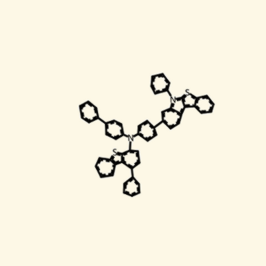 c1ccc(-c2ccc(N(c3ccc(-c4ccc5c6c7ccccc7sc6n(-c6ccccc6)c5c4)cc3)c3ccc(-c4ccccc4)c4c3sc3ccccc34)cc2)cc1